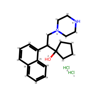 Cl.Cl.OC1(C(CN2CCNCC2)c2cccc3ccccc23)CCCC1